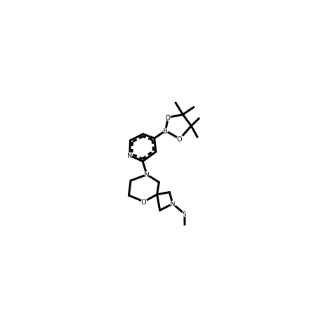 CSN1CC2(C1)CN(c1cc(B3OC(C)(C)C(C)(C)O3)ccn1)CCO2